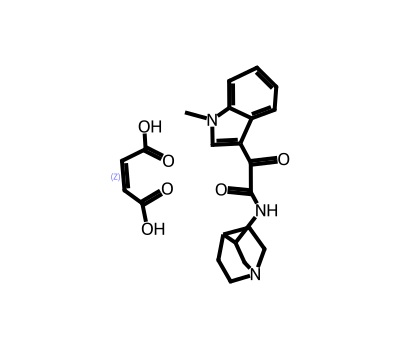 Cn1cc(C(=O)C(=O)NC2CN3CCC2CC3)c2ccccc21.O=C(O)/C=C\C(=O)O